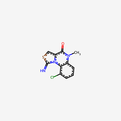 Cn1c(=O)c2csc(=N)n2c2c(Cl)cccc21